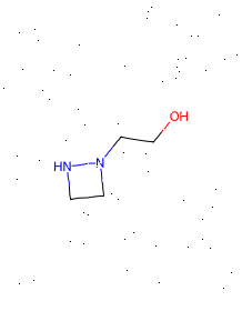 OCCN1CCN1